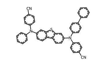 N#Cc1ccc(N(c2ccccc2)c2ccc3c(c2)sc2cc(N(c4ccc(C#N)cc4)c4ccc(-c5ccccc5)cc4)ccc23)cc1